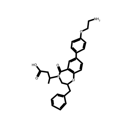 CC(CC(=O)O)N1CC(Cc2ccccc2)Oc2ccc(-c3ccc(OCCN)cc3)cc2C1=O